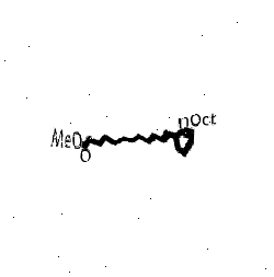 CCCCCCCCc1ccccc1/C=C/CCCCCCCCCC(=O)OC